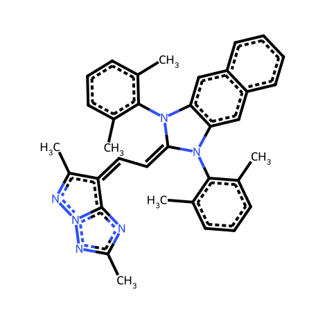 Cc1nc2/c(=C\C=C3N(c4c(C)cccc4C)c4cc5ccccc5cc4N3c3c(C)cccc3C)c(C)nn2n1